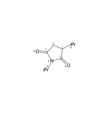 CC(C)C1CC(=O)N(C(C)C)C1=O